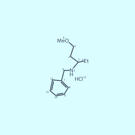 CCC(CCOC)NCc1ccccc1.Cl